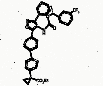 CCOC(=O)C1(c2ccc(-c3ccc(-c4onc(-c5ccccc5)c4NC(=O)O[C@H](C)c4cccc(C(F)(F)F)c4)cc3)cc2)CC1